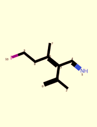 C=C(C)/C(C=N)=C(/C)CCI